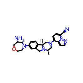 C[C@@H]1CN(c2ccc(C#N)n3nccc23)C[C@@H]2c3ccc(N4CCOC[C@H](N)C4)cc3CN12